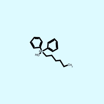 CCCCCC[PH](O)(c1ccccc1)c1ccccc1